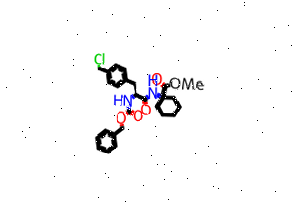 COC(=O)C1(NC(=O)[C@H](Cc2ccc(CCl)cc2)NC(=O)OCc2ccccc2)CCCCC1